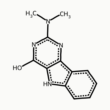 CN(C)c1nc(O)c2[nH]c3ccccc3c2n1